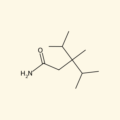 CC(C)C(C)(CC(N)=O)C(C)C